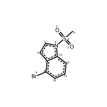 CS(=O)(=O)n1ccc2c(Br)cccc21